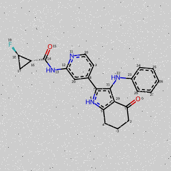 O=C1CCCc2[nH]c(-c3ccnc(NC(=O)[C@@H]4C[C@H]4F)c3)c(Nc3ccccc3)c21